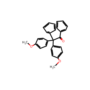 COc1ccc(C(C(=O)c2ccccc2)(c2ccccc2)c2ccc(OC)cc2)cc1